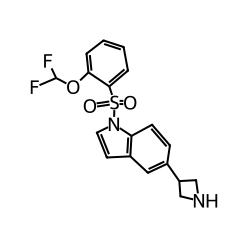 O=S(=O)(c1ccccc1OC(F)F)n1ccc2cc(C3CNC3)ccc21